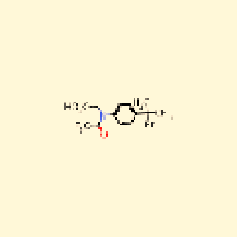 CCC(C)(C)c1ccc(N(CC(=O)O)C(=O)C(F)(F)F)cc1